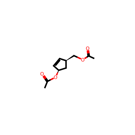 CC(=O)OC[C@@H]1C=C[C@H](OC(C)=O)C1